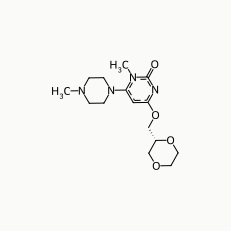 CN1CCN(c2cc(OC[C@H]3COCCO3)nc(=O)n2C)CC1